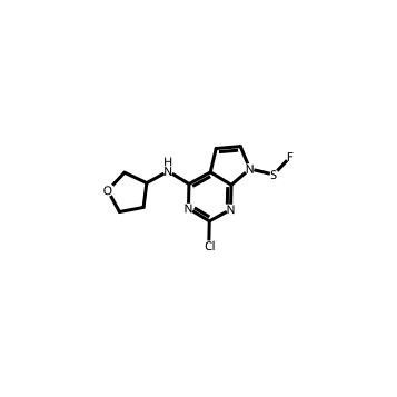 FSn1ccc2c(NC3CCOC3)nc(Cl)nc21